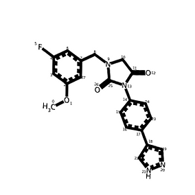 COc1cc(F)cc(CN2CC(=O)N(c3ccc(-c4cn[nH]c4)cc3)C2=O)c1